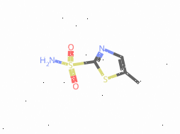 Cc1cnc(S(N)(=O)=O)s1